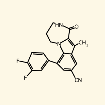 Cc1c2n(c3c(-c4ccc(F)c(F)c4)cc(C#N)cc13)CCCNC2=O